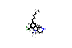 CCCCCc1cc2c(c(C(F)(F)F)c1)N(C)[C@@H]1CCNC[C@H]21